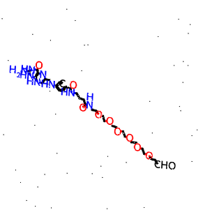 NC1NC(=O)C2=C(NCC(CNc3ccc(C(=O)NCCCC(=O)NCCOCCOCCOCCOCCOCCOCCC=O)cc3)=N2)N1